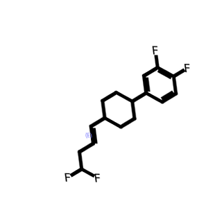 Fc1ccc(C2CCC(/C=C/CC(F)F)CC2)cc1F